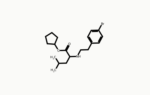 CC(C)CC(NCCc1ccc(Br)cc1)C(=O)OC1CCCC1